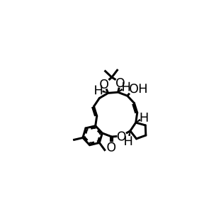 Cc1cc(C)c2c(c1)/C=C/C[C@@H]1OC(C)(C)O[C@@H]1C(O)/C=C\[C@@H]1CCC[C@@H]1OC2=O